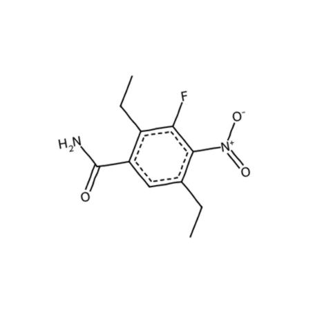 CCc1cc(C(N)=O)c(CC)c(F)c1[N+](=O)[O-]